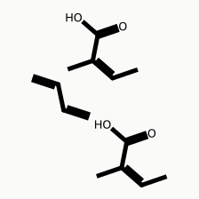 C=CC=C.CC=C(C)C(=O)O.CC=C(C)C(=O)O